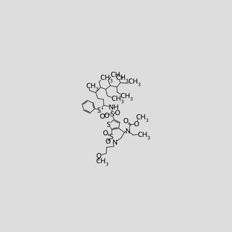 CCC(C)C(CC)C(CC)C(CC)C(CC)C(CC)CCC(NS(=O)(=O)c1cc2c(s1)S(=O)(=O)N(CCCOC)C[C@@H]2N(CC)C(=O)OC)[S+]([O-])c1ccccc1